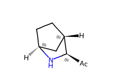 CC(=O)[C@H]1N[C@H]2CC[C@H]1C2